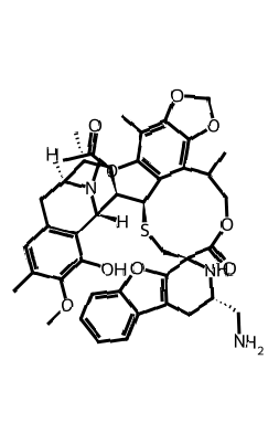 COc1c(C)cc2c(c1O)[C@H]1[C@H]([C@@H]3SC[C@]4(N[C@H](CN)Cc5c4oc4ccccc54)C(=O)OCC(C)c4c5c(c(C)c(OC(C)=O)c43)OCO5)C[C@@H](C)[C@H](C2)N1C